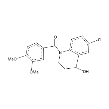 COc1ccc(C(=O)N2CCC(O)c3cc(Cl)ccc32)cc1OC